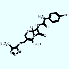 CCOC(=O)c1nn[nH]c1SCC1=C(C(=O)O)N2C(=O)C(NC(=O)C(N)c3ccc(O)cc3)[C@H]2SC1